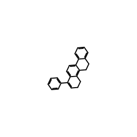 C1=C(c2ccccc2)c2ccc3c(c2CC1)CCc1ccccc1-3